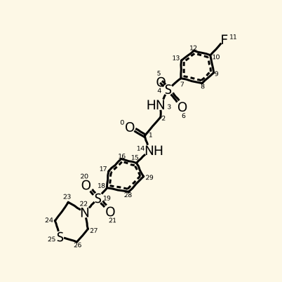 O=C(CNS(=O)(=O)c1ccc(F)cc1)Nc1ccc(S(=O)(=O)N2CCSCC2)cc1